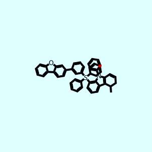 CC1CC=Cc2c1c1cccc(S(c3ccccc3)(c3cccc(-c4ccc5c(c4)oc4ccccc45)c3)C3C=CC=CC3)c1n2-c1ccccc1